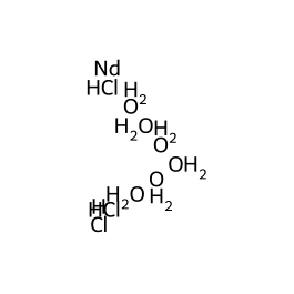 Cl.Cl.Cl.O.O.O.O.O.O.[Nd]